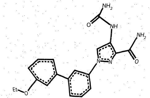 CCOc1cccc(-c2cccc(-n3cc(NC(N)=O)c(C(N)=O)n3)c2)c1